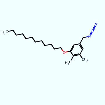 CCCCCCCCCCCCOc1cc(CN=[N+]=[N-])cc(C)c1C